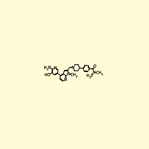 CN(C)C(=O)c1ccc(C2CCN(Cc3cc4c(-c5cnc(N)c(O)c5)ccnc4n3C)CC2)cc1